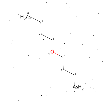 [AsH2]CCCOCCC[AsH2]